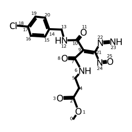 COC(=O)CCNC(=O)/C(C(=O)NCc1ccc(Cl)cc1)=C(/N=N)N=O